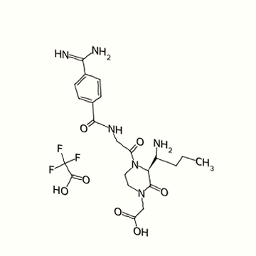 CCCC(N)[C@H]1C(=O)N(CC(=O)O)CCN1C(=O)CNC(=O)c1ccc(C(=N)N)cc1.O=C(O)C(F)(F)F